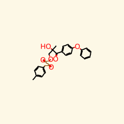 Cc1ccc(S(=O)(=O)OCC(C)(O)C(=O)c2ccc(Oc3ccccc3)cc2)cc1